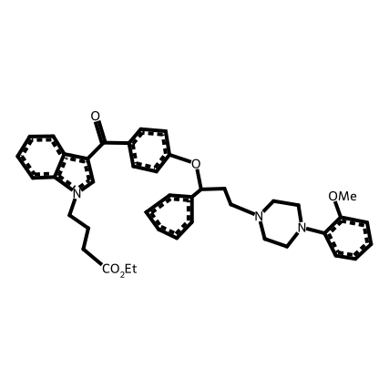 CCOC(=O)CCCn1cc(C(=O)c2ccc(OC(CCN3CCN(c4ccccc4OC)CC3)c3ccccc3)cc2)c2ccccc21